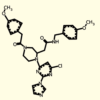 COc1ccc(CNC(=O)CC2CN(C(=O)Cc3ccc(OC)cc3)CCN2c2cc(Cl)nc(-n3ccnc3)n2)cc1